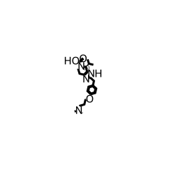 CC(C)[C@H]1c2[nH]c(Cc3ccc(OCCCN(C)C)cc3)nc2CCN1C(=O)O